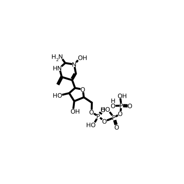 C=C1NC(N)N(O)C=C1C1OC(COP(=O)(O)OP(=O)(O)OP(=O)(O)O)C(O)C1O